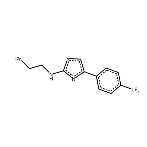 CC(C)CCNc1nc(-c2ccc(C(F)(F)F)cc2)cs1